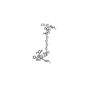 C[C@H](CSCC(=O)N(CCCN)[C@@H](c1cc(-c2cc(F)ccc2F)cn1Cc1ccccc1)C(C)(C)C)NC(=O)CCOCCOCCOCCOCCNC(=O)CNC(=O)C(CC(=O)O)SC[C@@H](C)N